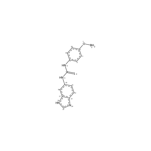 BOc1ccc(NC(=S)Nc2ccc3nc[nH]c3c2)cc1